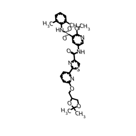 COc1ncc(NC(=O)c2csc(-c3cccc(OCC4COC(C)(C)O4)n3)n2)cc1S(=O)(=O)Nc1c(C)cccc1C